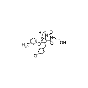 Cc1cccc(Oc2sc3c(c2Cc2ccc(Cl)cc2)c(=O)n(CCCO)c(=O)n3C)c1